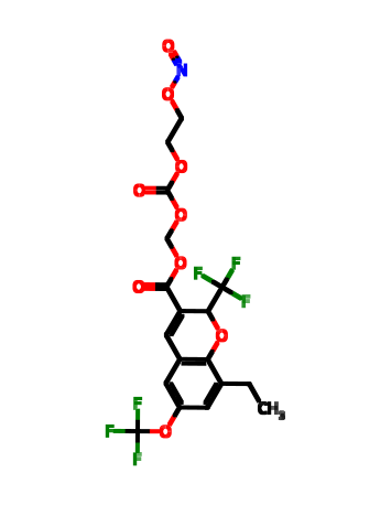 CCc1cc(OC(F)(F)F)cc2c1OC(C(F)(F)F)C(C(=O)OCOC(=O)OCCON=O)=C2